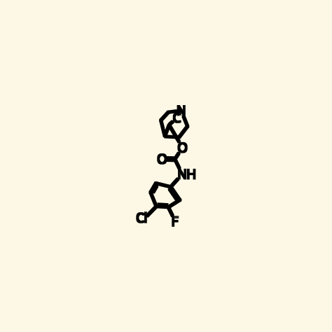 O=C(Nc1ccc(Cl)c(F)c1)OC1CN2CCC1CC2